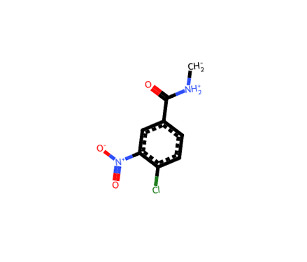 [CH2-][NH2+]C(=O)c1ccc(Cl)c([N+](=O)[O-])c1